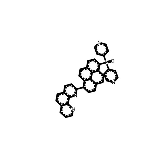 O=P(c1ccncc1)(c1ccncc1)c1ccc2ccc3c(-c4ccc5ccc6cccnc6c5n4)ccc4ccc1c2c43